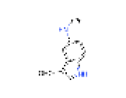 CCCNc1ccc2[nH]cc(C=O)c2c1